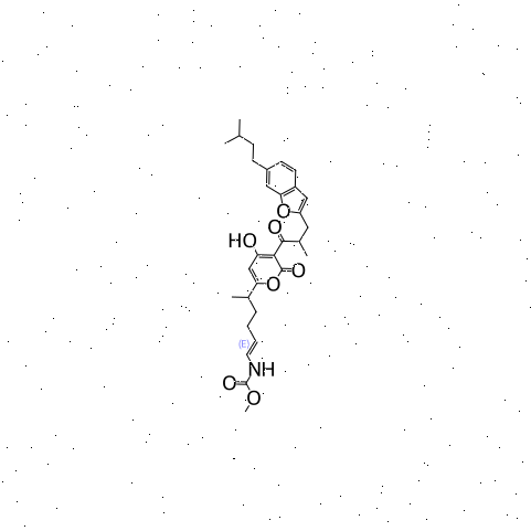 COC(=O)N/C=C/CCC(C)c1cc(O)c(C(=O)C(C)Cc2cc3ccc(CCC(C)C)cc3o2)c(=O)o1